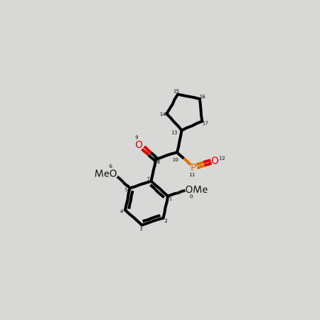 COc1cccc(OC)c1C(=O)C(P=O)C1CCCC1